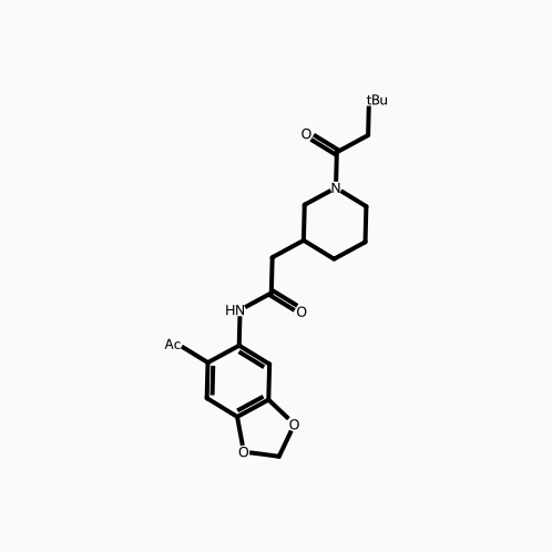 CC(=O)c1cc2c(cc1NC(=O)CC1CCCN(C(=O)CC(C)(C)C)C1)OCO2